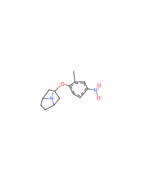 Cc1cc([N+](=O)[O-])ccc1OC1CC2CCC(C1)N2C